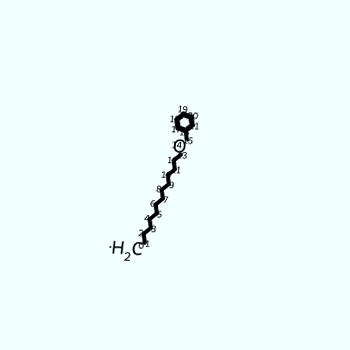 [CH2]CCCCCCCCCCCCCOCc1ccccc1